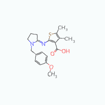 COc1ccc(CN2CCCC2=Nc2sc(C)c(C)c2C(=O)O)cc1